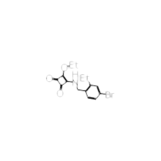 CCOc1c(NCc2ccc(Br)cc2CC)c(=O)c1=O